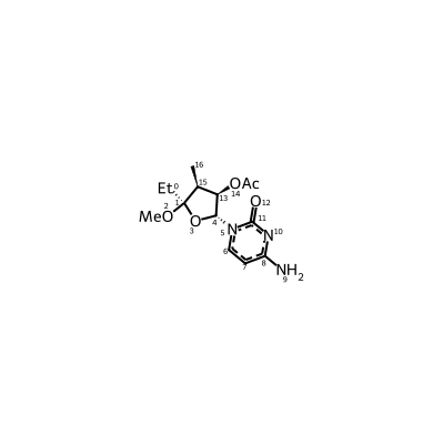 CC[C@@]1(OC)O[C@@H](n2ccc(N)nc2=O)[C@H](OC(C)=O)[C@@H]1C